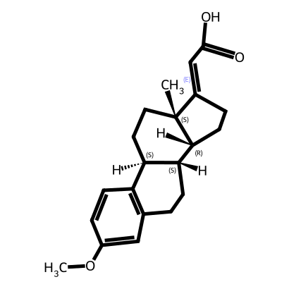 COc1ccc2c(c1)CC[C@@H]1[C@@H]2CC[C@]2(C)/C(=C/C(=O)O)CC[C@H]12